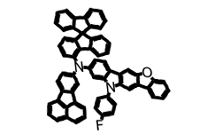 Fc1ccc(-n2c3cc(N(c4ccc5c(c4)-c4cccc6cccc-5c46)c4cccc5c4-c4ccccc4C54c5ccccc5-c5ccccc54)ccc3c3cc4oc5ccccc5c4cc32)cc1